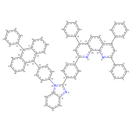 c1ccc(-c2cc(-c3ccccc3)c3ccc4c(-c5ccccc5)cc(-c5ccc(-c6nc7ccccc7n6-c6ccc(-c7c8ccccc8c(-c8ccccc8)c8ccccc78)cc6)cc5)nc4c3n2)cc1